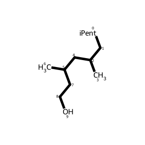 CCCC(C)CC(C)CC(C)CCO